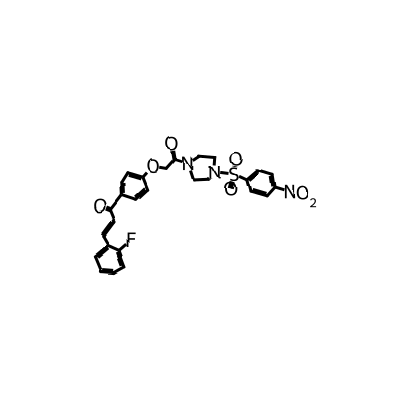 O=C(C=Cc1ccccc1F)c1ccc(OCC(=O)N2CCN(S(=O)(=O)c3ccc([N+](=O)[O-])cc3)CC2)cc1